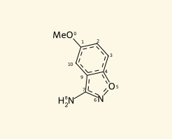 COc1ccc2onc(N)c2c1